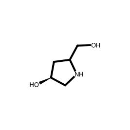 OCC1C[C@H](O)CN1